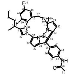 CCCC(C)c1cn2n1-c1c(F)cc(F)cc1CNC1(C)C=CC3=C(c4ccc(NC(C)=O)cc4)c4ccc-2n4B(F)N31